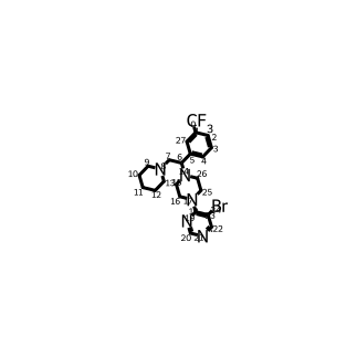 FC(F)(F)c1cccc(C(CN2CCCCC2)N2CCN(c3ncn[c]c3Br)CC2)c1